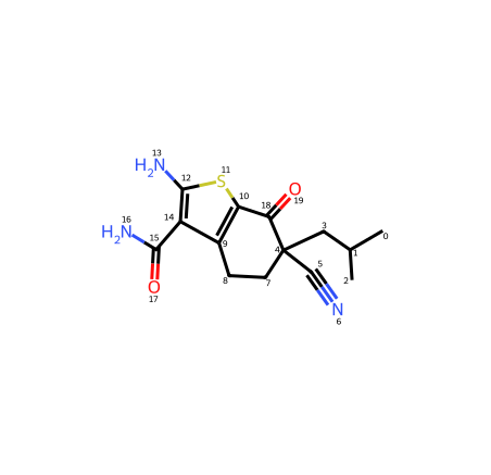 CC(C)CC1(C#N)CCc2c(sc(N)c2C(N)=O)C1=O